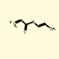 C=CC(=O)OC=CC.[LiH]